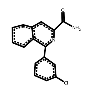 NC(=O)c1cc2ccccc2c(-c2cccc(Cl)c2)n1